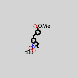 COC(=O)c1cccc(Cc2ccc3c(c2)cc(C)n3C(=O)OC(C)(C)C)c1